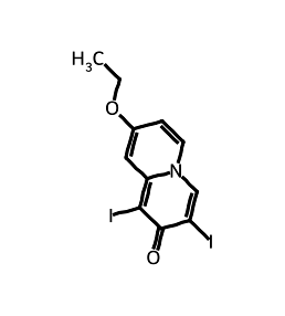 CCOc1ccn2cc(I)c(=O)c(I)c2c1